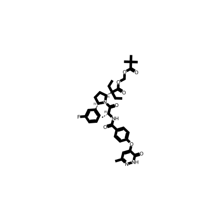 CCC(CC)(C(=O)OCOC(=O)C(C)(C)C)[C@H]1CC[C@@H](c2cccc(F)c2)N1C(=O)[C@@H](C)NC(=O)c1ccc(Oc2cc(C)n[nH]c2=O)cc1